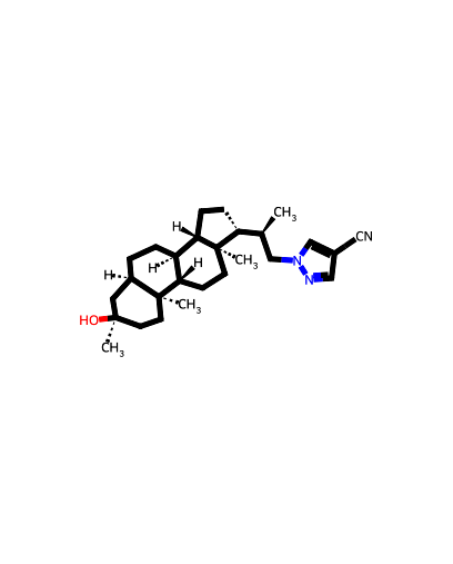 C[C@@H](Cn1cc(C#N)cn1)[C@H]1CC[C@H]2[C@@H]3CC[C@@H]4C[C@](C)(O)CC[C@]4(C)[C@H]3CC[C@]12C